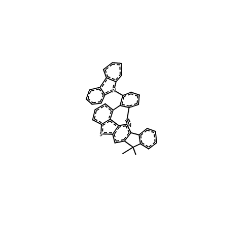 CC1(C)c2ccccc2-c2cc3c(cc21)sc1cccc(-c2c(C#N)cccc2-n2c4ccccc4c4ccccc42)c13